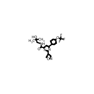 CC(C)(O)CNC(=O)c1cc(-c2ccc(OC(F)(F)F)cc2)nc(-c2cnoc2)n1